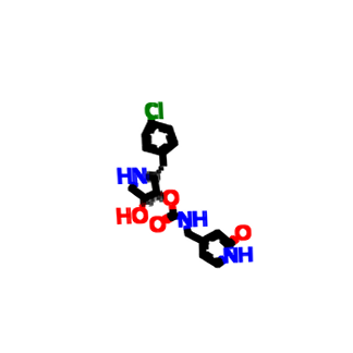 O=C(NCc1cc[nH]c(=O)c1)O[C@@H]1[C@@H](O)CN[C@@H]1Cc1ccc(Cl)cc1